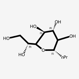 CCC[C@@H]1OC([C@H](O)CO)[C@@H](O)[C@H](O)C1O